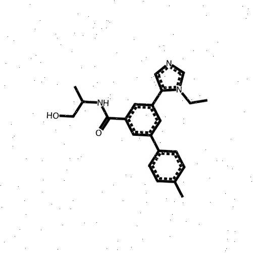 CCn1cncc1-c1cc(C(=O)NC(C)CO)cc(-c2ccc(C)cc2)c1